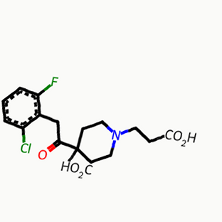 O=C(O)CCN1CCC(C(=O)O)(C(=O)Cc2c(F)cccc2Cl)CC1